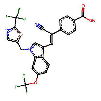 N#CC(=Cc1cn(Cc2cnc(C(F)(F)F)s2)c2cc(OC(F)(F)F)ccc12)c1ccc(C(=O)O)cc1